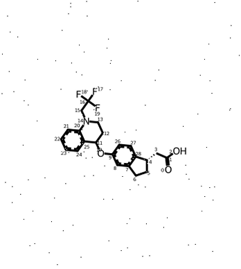 O=C(O)C[C@@H]1CCc2cc(OC3CCN(CC(F)(F)F)c4ccccc43)ccc21